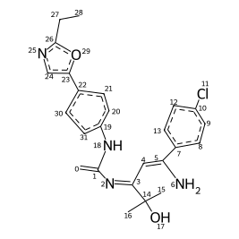 C=C(/N=C(\C=C(/N)c1ccc(Cl)cc1)C(C)(C)O)Nc1ccc(-c2cnc(CC)o2)cc1